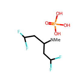 CNC(CC(F)F)CC(F)F.O=P(O)(O)O